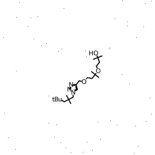 CC(C)(C)CC(C)(C)Cn1cc(COCCC(C)(C)OCCC(C)(C)O)nn1